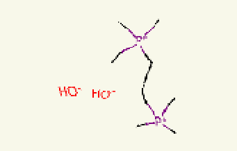 C[P+](C)(C)CC[P+](C)(C)C.[OH-].[OH-]